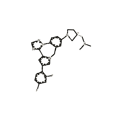 CN(C)C[C@H]1CCN(c2ccc3c(c2)Cn2cc(-c4ccc(F)cc4F)cc2-c2ncnn2-3)C1